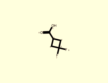 O=C(O)[C]1CC(F)(F)C1